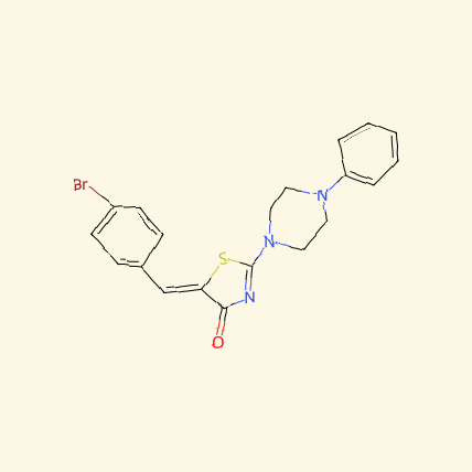 O=C1N=C(N2CCN(c3ccccc3)CC2)S/C1=C\c1ccc(Br)cc1